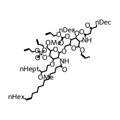 C=CCOC(=O)O[C@@H]1C(COC2OC(COC)[C@@H](OP(=O)(OCC=C)OCC=C)C(OCCC(CCCCCCC)OC)[C@H]2NC(=O)CCCCCCCCC/C=C\CCCCCC)OC(O/C=C\C)[C@H](NC(=O)CC(=O)CCCCCCCCCCC)C1OCCCCCCCCCC